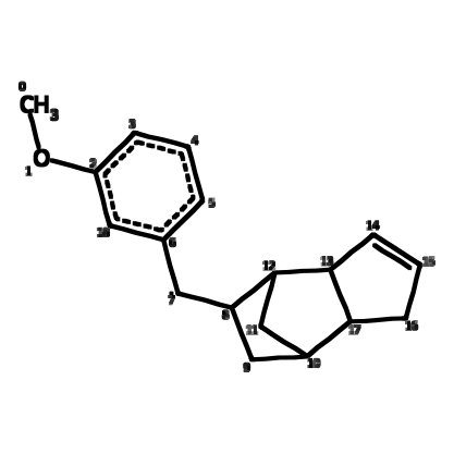 COc1cccc([CH]C2CC3CC2C2C=CCC32)c1